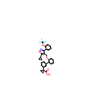 O=C(O)C1(c2cccc(-c3ccccc3OCc3c(-c4ccccc4OC(F)(F)F)noc3C3CC3)c2)CC1